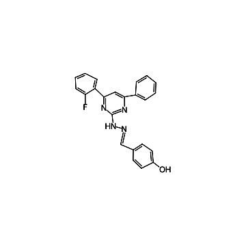 Oc1ccc(/C=N/Nc2nc(-c3ccccc3)cc(-c3ccccc3F)n2)cc1